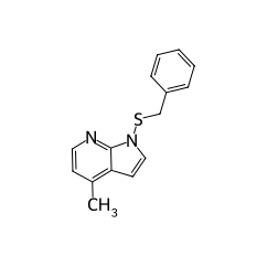 Cc1ccnc2c1ccn2SCc1ccccc1